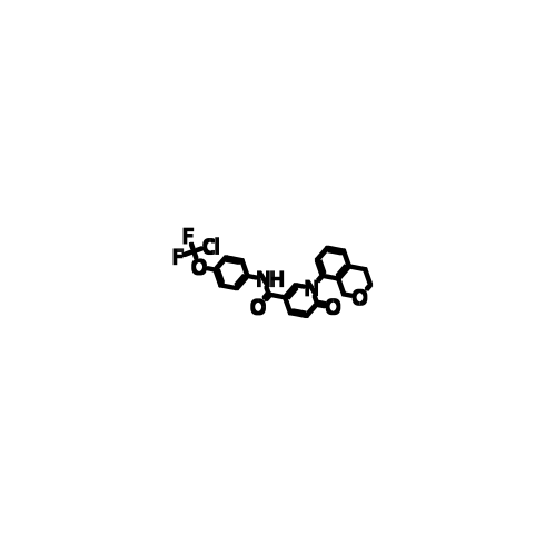 O=C(Nc1ccc(OC(F)(F)Cl)cc1)c1ccc(=O)n(-c2cccc3c2COCC3)c1